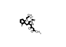 C=CCOc1cccc(F)c1Cc1cn(C(F)F)nc1C(=O)CC(C)=O